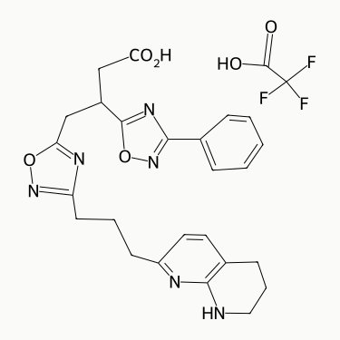 O=C(O)C(F)(F)F.O=C(O)CC(Cc1nc(CCCc2ccc3c(n2)NCCC3)no1)c1nc(-c2ccccc2)no1